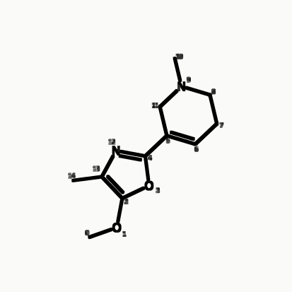 COc1oc(C2=CCCN(C)C2)nc1C